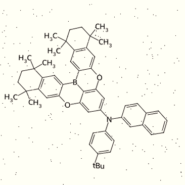 CC(C)(C)c1ccc(N(c2cc3c4c(c2)Oc2cc5c(cc2B4c2cc4c(cc2O3)C(C)(C)CCC4(C)C)C(C)(C)CCC5(C)C)c2ccc3ccccc3c2)cc1